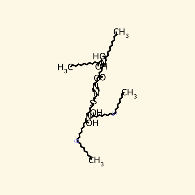 CCCCCCCC/C=C\CCCCCCC(O)CN(CCCCSSCCN1CCN(CCOC(=O)CCCCN(CC(O)CCCCCCCCCC)CC(O)CCCCCCCCCC)CC1)CC(O)CCCCCC/C=C\CCCCCCCC